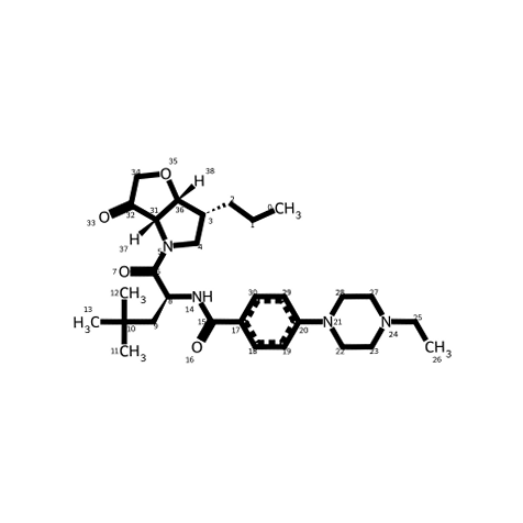 CCC[C@@H]1CN(C(=O)[C@H](CC(C)(C)C)NC(=O)c2ccc(N3CCN(CC)CC3)cc2)[C@@H]2C(=O)CO[C@H]12